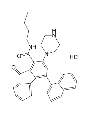 CCCCNC(=O)c1c(N2CCNCC2)cc(-c2cccc3ccccc23)c2c1C(=O)c1ccccc1-2.Cl